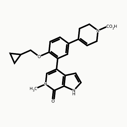 Cn1cc(-c2cc(C3=CCN(C(=O)O)CC3)ccc2OCC2CC2)c2cc[nH]c2c1=O